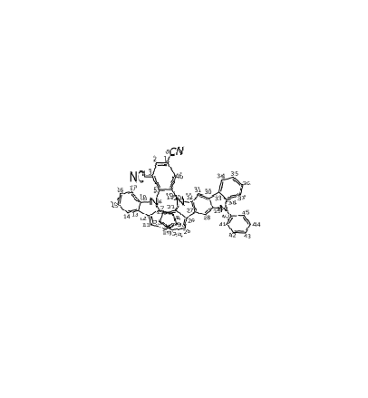 N#Cc1cc(C#N)c(-n2c3ccccc3c3ccccc32)c(-n2c3ccccc3c3cc4c(cc32)c2ccccc2n4-c2ccccc2)c1